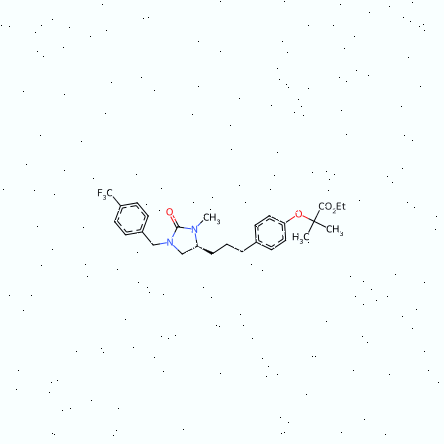 CCOC(=O)C(C)(C)Oc1ccc(CCC[C@H]2CN(Cc3ccc(C(F)(F)F)cc3)C(=O)N2C)cc1